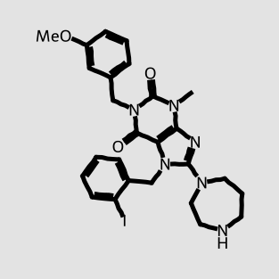 COc1cccc(Cn2c(=O)c3c(nc(N4CCCNCC4)n3Cc3ccccc3I)n(C)c2=O)c1